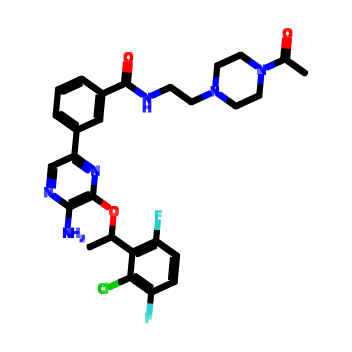 CC(=O)N1CCN(CCNC(=O)c2cccc(-c3cnc(N)c(OC(C)c4c(F)ccc(F)c4Cl)n3)c2)CC1